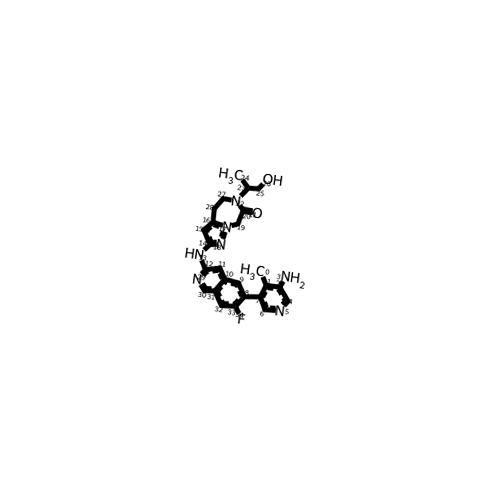 Cc1c(N)cncc1-c1cc2cc(Nc3cc4n(n3)CC(=O)N(C(C)CO)CC4)ncc2cc1F